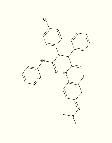 CN(C)N=C1C=CC(NC(=O)C(c2ccccc2)N(C(=O)Nc2ccccc2)c2ccc(Cl)cc2)=C(F)C1